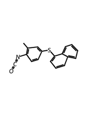 Cc1cc(Sc2cccc3ccccc23)ccc1N=C=O